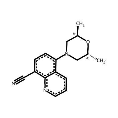 [CH2][C@@H]1CN(c2ccc(C#N)c3ncccc23)C[C@@H](C)O1